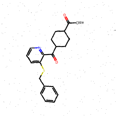 COC(=O)C1CCC(C(=O)c2ncccc2SCc2ccccc2)CC1